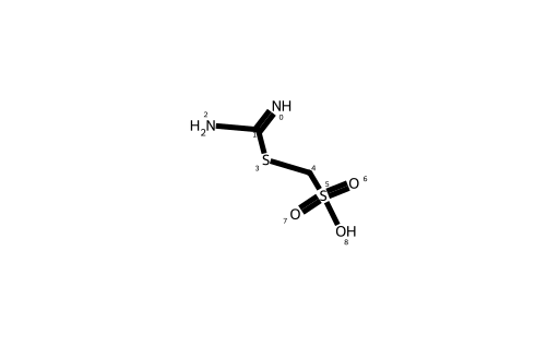 N=C(N)SCS(=O)(=O)O